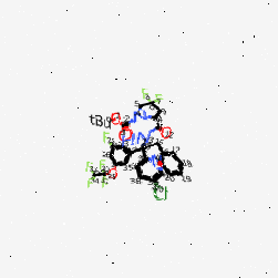 CC(C)(C)OC(=O)N1CC(F)(F)C[C@H]1C(=O)N[C@@](Cc1ccccc1)(c1cc(F)cc(OC(F)(F)C(F)F)c1)c1ccc(Cl)cn1